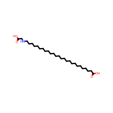 O=C(O)CCCCCCCCCCCCCCCCCCCCCCCCCNCC(=O)O